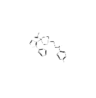 CC(=O)C1(c2ccsc2-c2ccccc2)CCN(CCC(=O)c2ccc(F)cc2)CC1